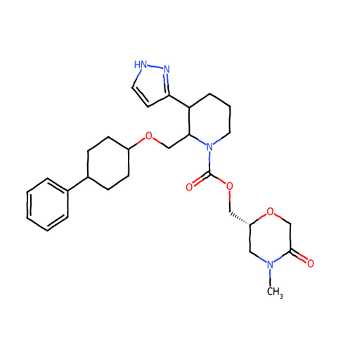 CN1C[C@H](COC(=O)N2CCCC(c3cc[nH]n3)C2COC2CCC(c3ccccc3)CC2)OCC1=O